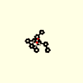 c1ccc(-c2cccc(-c3cc(-c4cccc(-c5ccccc5)c4)nc(-n4c5ccccc5c5ccc6c7ccccc7c7cc8ccccc8n7c6c54)n3)c2)cc1